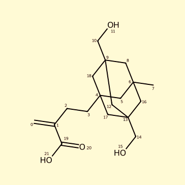 C=C(CCC12CC3(C)CC(CO)(CC(CO)(C3)C1)C2)C(=O)O